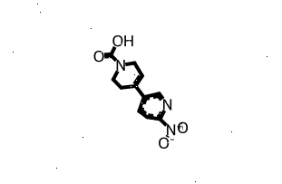 O=C(O)N1CC=C(c2ccc([N+](=O)[O-])nc2)CC1